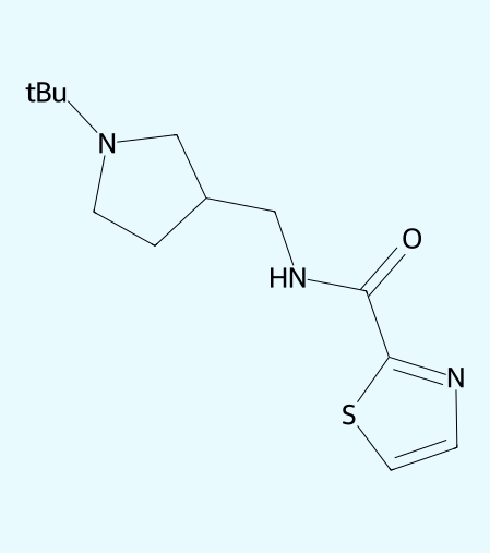 CC(C)(C)N1CCC(CNC(=O)c2nccs2)C1